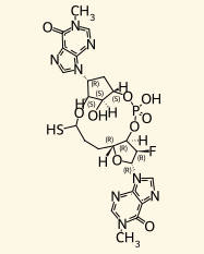 Cn1cnc2c(ncn2[C@@H]2C[C@@H]3OP(=O)(O)O[C@H]4[C@@H](F)[C@H](n5cnc6c(=O)n(C)cnc65)O[C@@H]4CCC(S)O[C@@H]2[C@@H]3O)c1=O